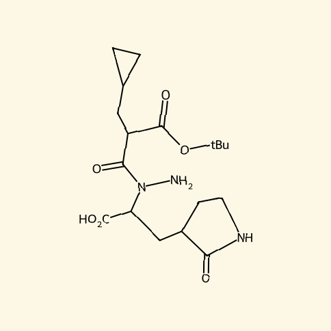 CC(C)(C)OC(=O)C(CC1CC1)C(=O)N(N)C(CC1CCNC1=O)C(=O)O